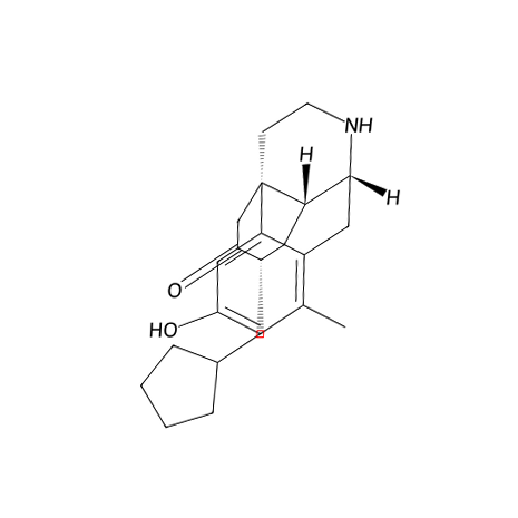 Cc1cc(O)cc2c1C[C@H]1NCC[C@@]23CC(=O)[C@@H](CC2CCCC2)C[C@@H]13